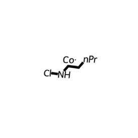 CCCCCNCl.[Co]